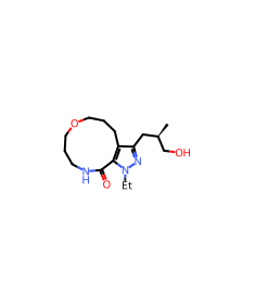 CCn1nc(C[C@@H](C)CO)c2c1C(=O)NCCCOCCC2